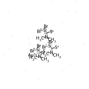 CN(C)C(=S)[S-](Br)Br.CN(C)C(=S)[S-](Br)Br.CN(C)C(=S)[S-](Br)Br.[Au+3]